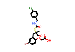 CC(C=O)(Cc1cc(Br)ccc1OCC(=O)O)SC(=O)NCc1ccc(Cl)cc1